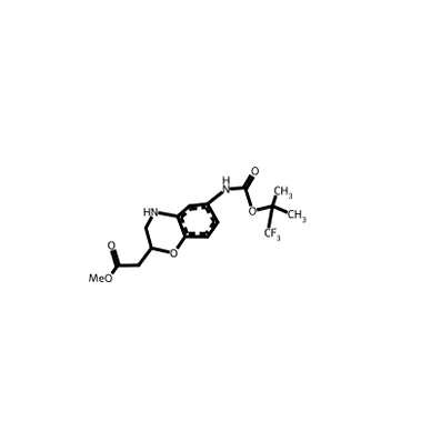 COC(=O)CC1CNc2cc(NC(=O)OC(C)(C)C(F)(F)F)ccc2O1